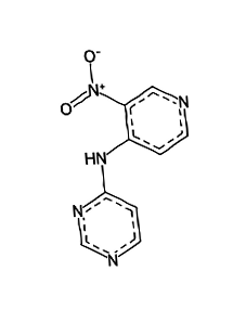 O=[N+]([O-])c1cnccc1Nc1ccncn1